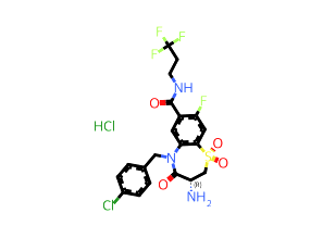 Cl.N[C@H]1CS(=O)(=O)c2cc(F)c(C(=O)NCCC(F)(F)F)cc2N(Cc2ccc(Cl)cc2)C1=O